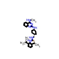 CCc1cccc(C(C)C)c1NC(=S)NC[C@H]1CC[C@@H](Nc2nc(NC)c3ccccc3n2)CC1